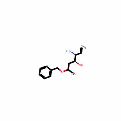 C=C[C@H](N)[C@@H](O)CC(CC)OCc1ccccc1